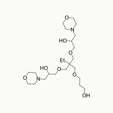 CCC(COCCCO)(COCC(O)CN1CCOCC1)COCC(O)CN1CCOCC1